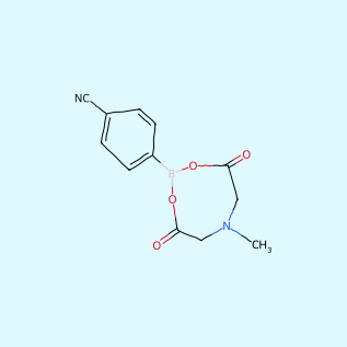 CN1CC(=O)OB(c2ccc(C#N)cc2)OC(=O)C1